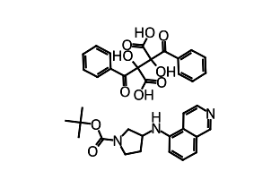 CC(C)(C)OC(=O)N1CCC(Nc2cccc3cnccc23)C1.O=C(O)C(O)(C(=O)c1ccccc1)C(O)(C(=O)O)C(=O)c1ccccc1